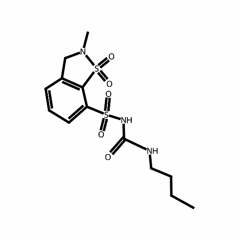 CCCCNC(=O)NS(=O)(=O)c1cccc2c1S(=O)(=O)N(C)C2